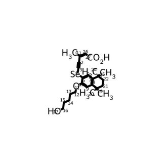 CC(C#C[Se]c1cc2c(cc1OCCCCCO)C(C)(C)CCC2(C)C)=CC(=O)O